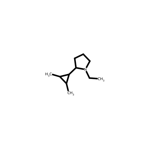 CCN1CCCC1C1C(C)C1C